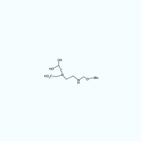 CC(C)(C)OCNCCN(CC(=O)O)CC(O)O